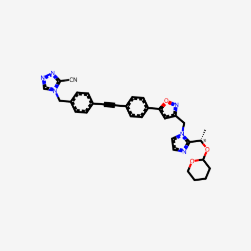 C[C@H](OC1CCCCO1)c1nccn1Cc1cc(-c2ccc(C#Cc3ccc(Cn4cnnc4C#N)cc3)cc2)on1